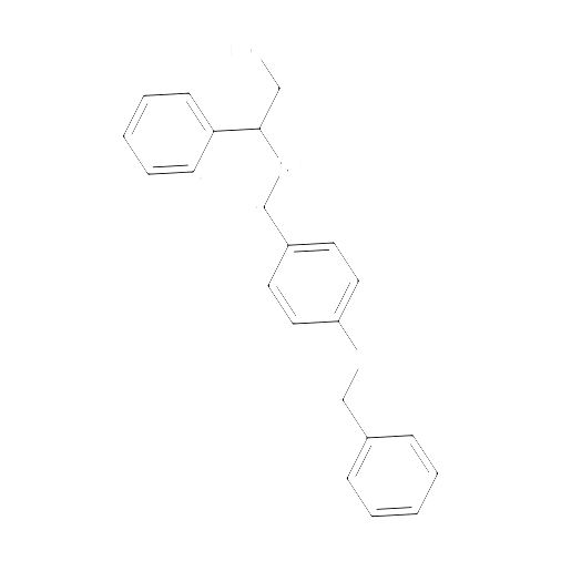 CCC(NCc1ccc(OCc2ccccc2)cc1)c1ccccc1